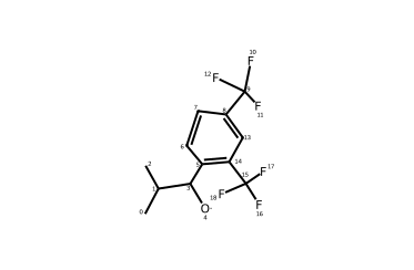 CC(C)C([O])c1ccc(C(F)(F)F)cc1C(F)(F)F